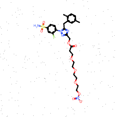 Cc1ccc(C)c(Cc2nc(COC(=O)CCOCCOCCOCCO[N+](=O)[O-])nn2-c2ccc(S(N)(=O)=O)cc2F)c1